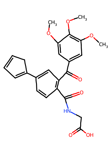 COc1cc(C(=O)c2cc(C3=CC=CC3)ccc2C(=O)NCC(=O)O)cc(OC)c1OC